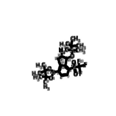 CC1(C)OB(c2ccc(S(=O)(=O)C(F)(F)F)c3c2C[C@@H](F)[C@H]3O[Si](C)(C)C(C)(C)C)OC1(C)C